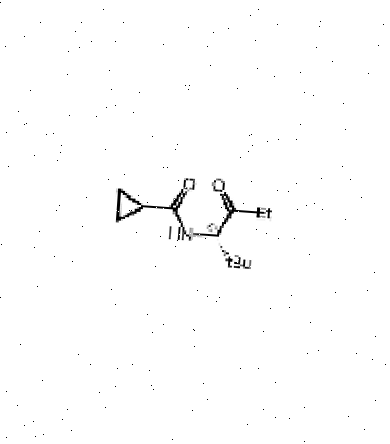 CCC(=O)[C@@H](NC(=O)C1CC1)C(C)(C)C